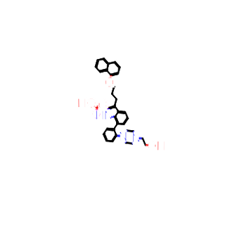 O=C(O)Oc1[nH]c2c(-c3ccccc3N3CCN(CCO)CC3)cccc2c1CCCOc1cccc2ccccc12